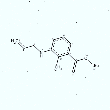 C=CCNc1cccc(C(=O)OC(C)(C)C)c1C